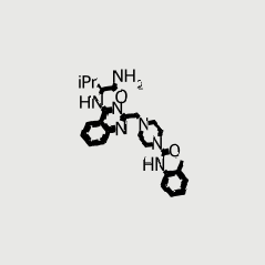 Cc1ccccc1NC(=O)N1CCN(Cc2nc(N[C@H](C(N)=O)C(C)C)c3ccccc3n2)CC1